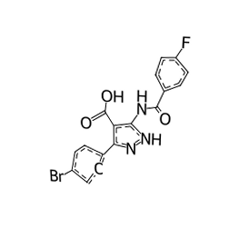 O=C(Nc1[nH]nc(-c2ccc(Br)cc2)c1C(=O)O)c1ccc(F)cc1